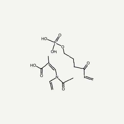 C=CC(=O)CCCOP(=O)(O)O.C=CN(C=C(C)C(=O)O)C(C)=O